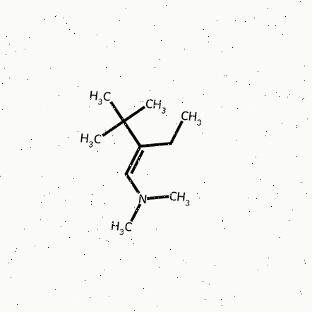 CC/C(=C\N(C)C)C(C)(C)C